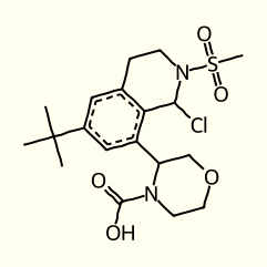 CC(C)(C)c1cc2c(c(C3COCCN3C(=O)O)c1)C(Cl)N(S(C)(=O)=O)CC2